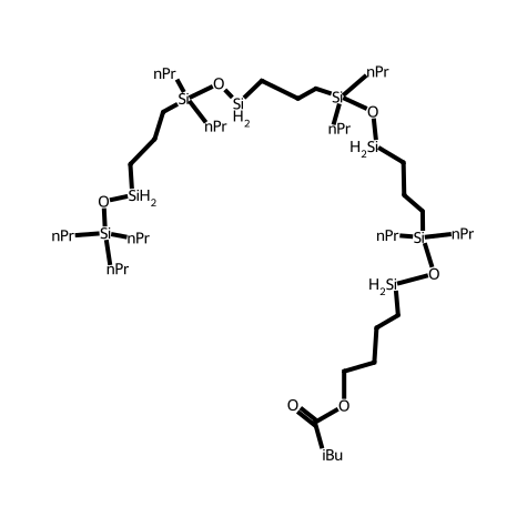 CCC[Si](CCC)(CCC)O[SiH2]CCC[Si](CCC)(CCC)O[SiH2]CCC[Si](CCC)(CCC)O[SiH2]CCC[Si](CCC)(CCC)O[SiH2]CCCCOC(=O)C(C)CC